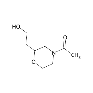 CC(=O)N1CCOC(CCO)C1